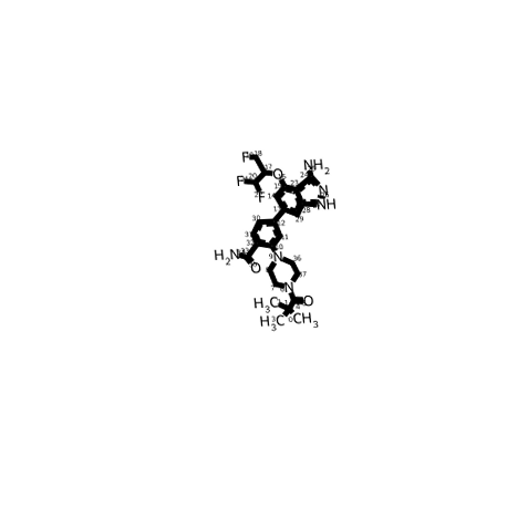 CC(C)(C)C(=O)N1CCN(c2cc(-c3cc(OC(CF)C(F)F)c4c(N)n[nH]c4c3)ccc2C(N)=O)CC1